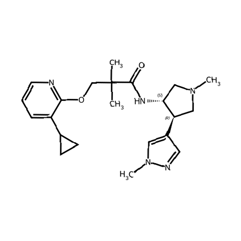 CN1C[C@@H](NC(=O)C(C)(C)COc2ncccc2C2CC2)[C@H](c2cnn(C)c2)C1